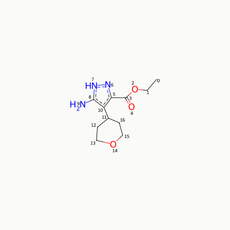 CCOC(=O)c1n[nH]c(N)c1C1CCOCC1